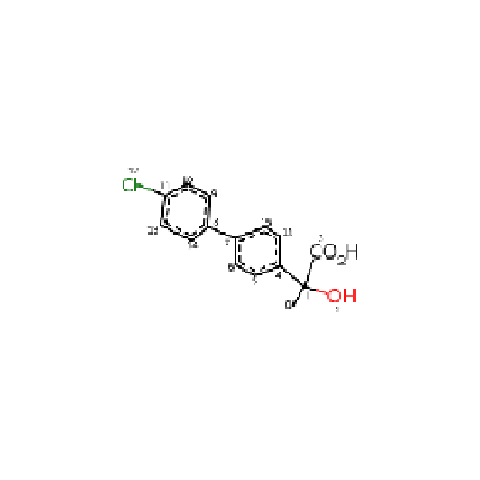 CC(O)(C(=O)O)c1ccc(-c2ccc(Cl)cc2)cc1